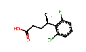 CC(CCC(=O)O)c1c(F)cccc1Cl